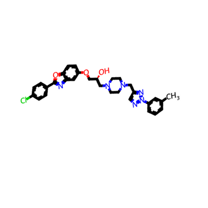 Cc1cccc(-n2ncc(CN3CCN(C[C@H](O)COc4ccc5oc(-c6ccc(Cl)cc6)nc5c4)CC3)n2)c1